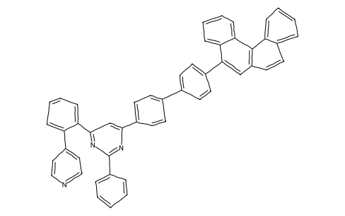 c1ccc(-c2nc(-c3ccc(-c4ccc(-c5cc6ccc7ccccc7c6c6ccccc56)cc4)cc3)cc(-c3ccccc3-c3ccncc3)n2)cc1